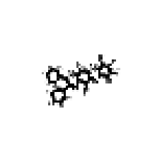 Fc1c(F)c(F)c2nc3c(F)c4nc(-c5ccccc5)c(-c5ccccc5)nc4c(F)c3nc2c1F